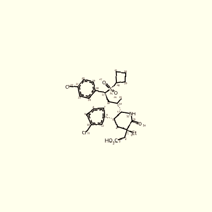 CC[C@@]1(CC(=O)O)C[C@H](c2cccc(Cl)c2)[C@H](C(C)C[C@@H](c2ccc(Cl)cc2)S(=O)(=O)C2CCC2)NC1=O